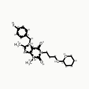 Cc1nc2c(c(=O)n(CCCOC3CCCCO3)c(=O)n2C)n1Cc1ccc(F)cc1